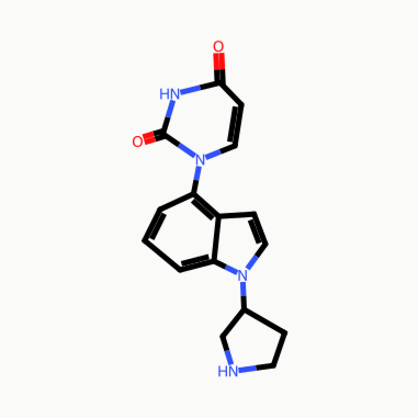 O=c1ccn(-c2cccc3c2ccn3C2CCNC2)c(=O)[nH]1